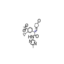 Cc1cnc(NC(=O)/C(=C/[C@H]2CCC(=O)C2)c2ccc(S(C)(=O)=O)c(C3CC3)c2)cn1